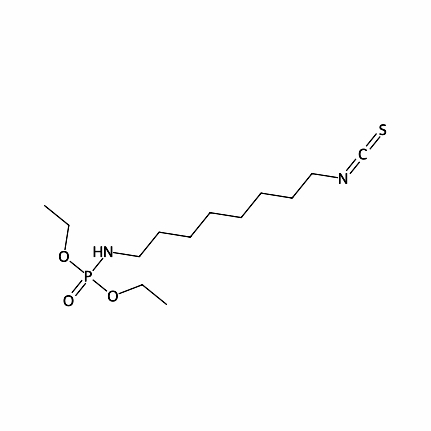 CCOP(=O)(NCCCCCCCCN=C=S)OCC